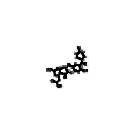 O=C(O)CN(CC(=O)O)c1ccc(Oc2ccc(O)c(C(=O)c3ccc(Cl)cc3)c2)c(Cl)c1Cl